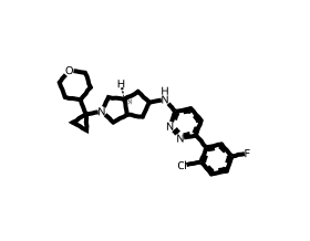 Fc1ccc(Cl)c(-c2ccc(NC3CC4CN(C5(C6CCOCC6)CC5)C[C@H]4C3)nn2)c1